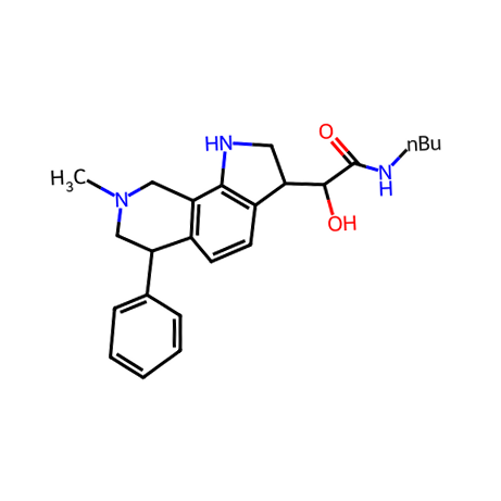 CCCCNC(=O)C(O)C1CNc2c1ccc1c2CN(C)CC1c1ccccc1